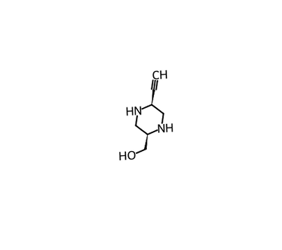 C#C[C@H]1CN[C@@H](CO)CN1